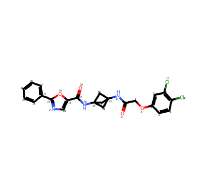 O=C(COc1ccc(Cl)c(Cl)c1)NC12CC(NC(=O)c3cnc(-c4ccccc4)o3)(C1)C2